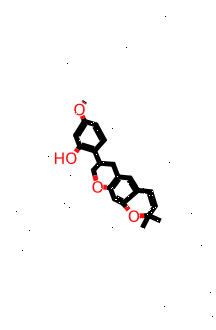 COc1ccc(C2COc3cc4c(cc3C2)C=CC(C)(C)O4)c(O)c1